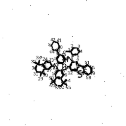 Cc1ccccc1N1c2cc3c(cc2B2c4cc5c(cc4N(c4ccc6c(c4)C(C)(C)CCC6(C)C)c4cc(C6CCCCC6)cc1c42)C(C)(C)CCC5(C)C)sc1ccccc13